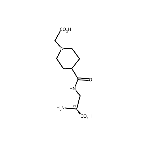 N[C@@H](CNC(=O)C1CCN(CC(=O)O)CC1)C(=O)O